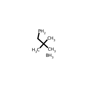 B.CC(C)(C)CP